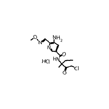 CCC(C)(NC(=O)c1cnc(/C=N/OC)c(N)c1)C(=O)CCl.Cl